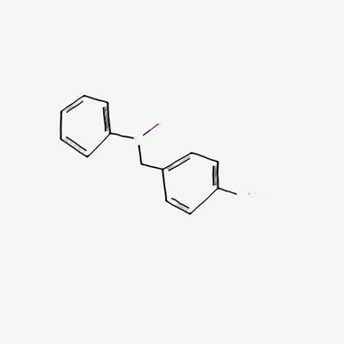 COc1ccc(CB(P)c2ccccc2)cc1